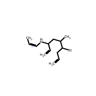 C=CCC(CC)C(C)CC(C=C)N/C=C\C